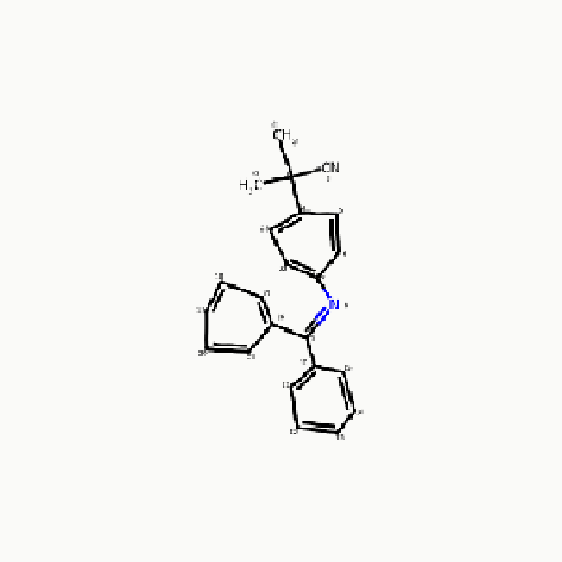 CC(C)(C#N)c1ccc(N=C(c2ccccc2)c2ccccc2)cc1